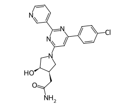 NC(=O)C[C@@H]1CN(c2cc(-c3ccc(Cl)cc3)nc(-c3cccnc3)n2)C[C@@H]1O